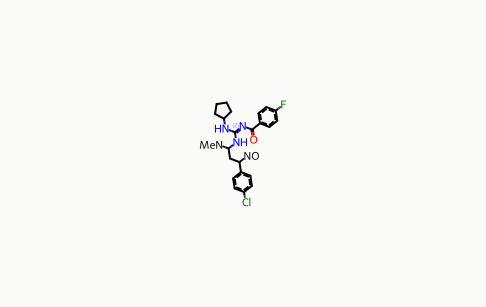 CNC(CC(N=O)c1ccc(Cl)cc1)N/C(=N\C(=O)c1ccc(F)cc1)NC1CCCC1